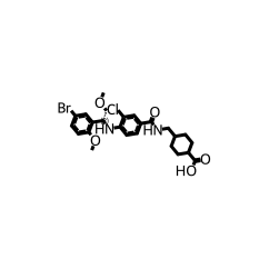 COC[C@H](Nc1ccc(C(=O)NCC2CCC(C(=O)O)CC2)cc1Cl)c1cc(Br)ccc1OC